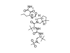 CCCC(NC(=O)[C@@H]1[C@H]2CCC(C)(C)[C@H]2CN1C(=O)[C@@H](NC(=O)N[C@H](CN(C)S(C)(=O)=O)C(C)(C)C)C(C)(C)C)C(=O)C(N)=O